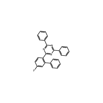 Fc1ccc(-c2nc(-c3ccccc3)nc(-c3ccccc3)n2)c(-c2ccccc2)c1